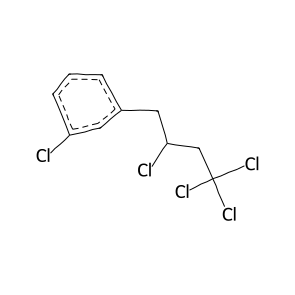 Clc1cccc(CC(Cl)CC(Cl)(Cl)Cl)c1